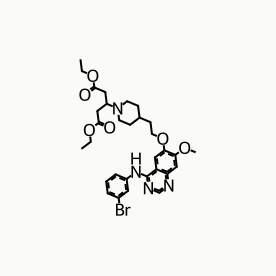 CCOC(=O)CC(CC(=O)OCC)N1CCC(CCOc2cc3c(Nc4cccc(Br)c4)ncnc3cc2OC)CC1